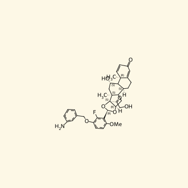 COc1ccc(OCc2cccc(N)c2)c(F)c1[C@@H]1O[C@@H]2CC3[C@@H]4CCC5=CC(=O)C=C[C@]5(C)C4[C@@H](O)C[C@]3(C)[C@]2(C(=O)CO)O1